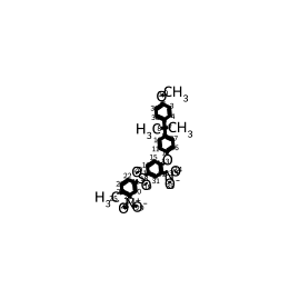 COc1ccc(C(C)(C)c2ccc(Oc3ccc(S(=O)(=O)c4ccc(C)c([N+](=O)[O-])c4)cc3[N+](=O)[O-])cc2)cc1